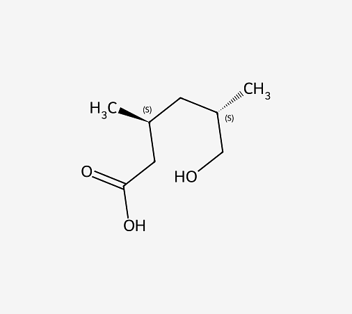 C[C@H](CO)C[C@H](C)CC(=O)O